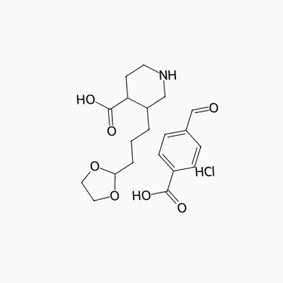 Cl.O=C(O)C1CCNCC1CCCC1OCCO1.O=Cc1ccc(C(=O)O)cc1